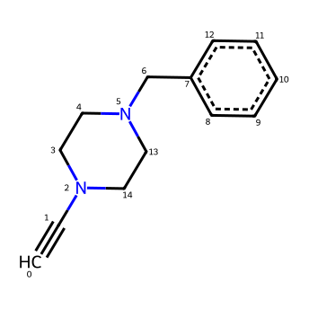 C#CN1CCN(Cc2ccccc2)CC1